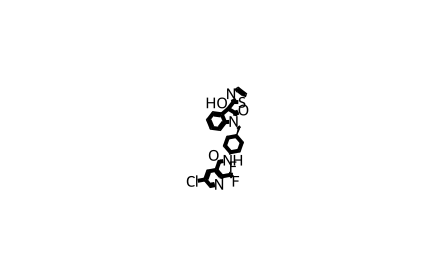 O=C(N[C@H]1CC[C@H](CN2C(=O)C(O)(c3nccs3)c3ccccc32)CC1)c1cc(Cl)cnc1C(F)F